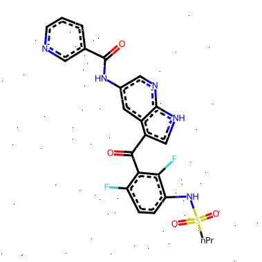 CCCS(=O)(=O)Nc1ccc(F)c(C(=O)c2c[nH]c3ncc(NC(=O)c4cccnc4)cc23)c1F